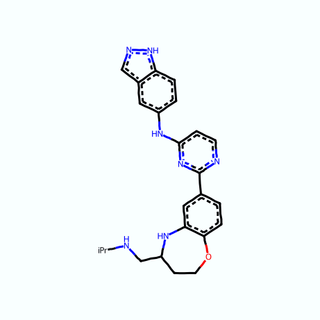 CC(C)NCC1CCOc2ccc(-c3nccc(Nc4ccc5[nH]ncc5c4)n3)cc2N1